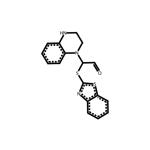 O=CC(Sc1nc2ccccc2s1)N1CCNc2ccccc21